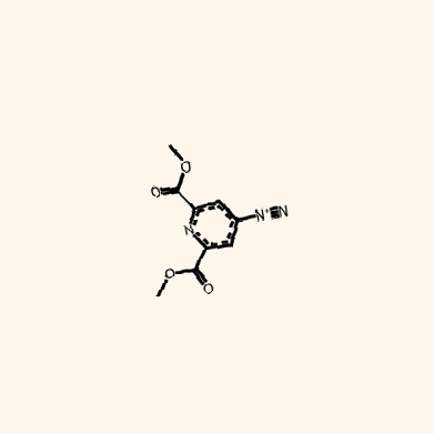 COC(=O)c1cc([N+]#N)cc(C(=O)OC)n1